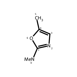 CNc1ncc(C)o1